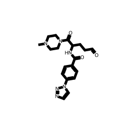 CN1CCN(C(=O)C(CCC=O)NC(=O)c2ccc(-n3ccnn3)cc2)CC1